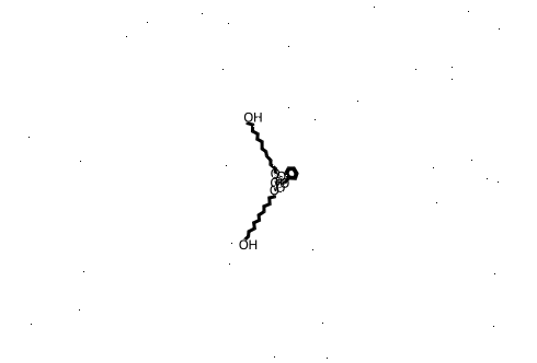 O=P(OOCCCCCCCCCCCCO)(OOCCCCCCCCCCCCO)Oc1ccccc1